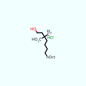 CCCCCCCCCCCCC(C)(CCO)C(=O)O.Cl